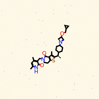 Cc1cc(C)c(CN2CCc3sc([C@H](C)C4CCC(N5CC(OCC6CC6)C5)CC4)c(C)c3C2=O)c(=O)[nH]1